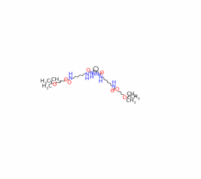 CC(C)=C(C)OCCCCOC(=O)NCCCCCCNC(=O)N[C@@H]1CCCC[C@H]1NC(=O)NCCCCCCNC(=O)OCCCCOC(C)=C(C)C